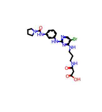 O=C(O)CC(=O)NCCCNc1nc(Nc2cccc(NC(=O)N3CCCC3)c2)ncc1Br